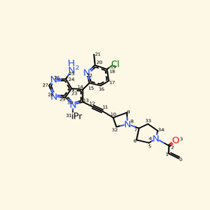 C=CC(=O)N1CCC(N2CC(C#Cc3c(-c4ccc(Cl)c(C)n4)c4c(N)ncnc4n3C(C)C)C2)CC1